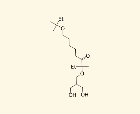 CCC(C)(C)OCCCCCC(=O)C(C)(CC)OCC(CO)CO